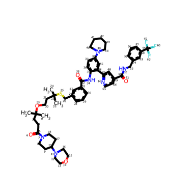 CC(C)(CCC(=O)N1CCC(N2CCOCC2)CC1)OCCC(C)(C)SCc1cccc(C(=O)Nc2ccc(N3CCCCC3)cc2-c2cc(C(=O)NCc3cccc(C(F)(F)F)c3)ccn2)c1